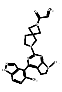 C=CC(=O)N1CC2(CCN(c3nc(-c4c(C)ccc5[nH]ncc45)c4c(n3)N(C)CC4)C2)C1